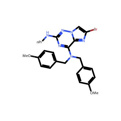 CCCNc1nc(N(Cc2ccc(OC)cc2)Cc2ccc(OC)cc2)c2nc(Br)cn2n1